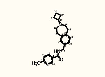 Cc1ccc(C(=O)NCc2ccc3c(c2)CCN(C2CCC2)CC3)cn1